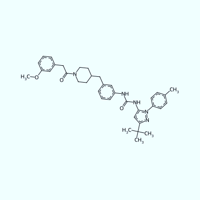 COc1cccc(CC(=O)N2CCC(Cc3cccc(NC(=O)Nc4cc(C(C)(C)C)nn4-c4ccc(C)cc4)c3)CC2)c1